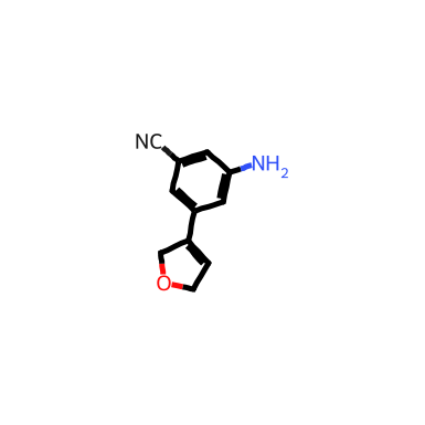 N#Cc1cc(N)cc(C2=CCOC2)c1